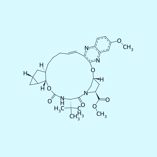 COC(=O)[C@@H]1C[C@@H]2CN1C(=O)[C@H](C(C)(C)C)NC(=O)O[C@@H]1C3C[C@@H]3C[C@H]1CCC/C=C/c1nc3ccc(OC)cc3nc1O2